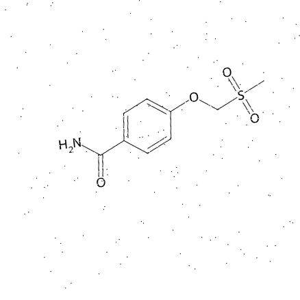 CS(=O)(=O)COc1ccc(C(N)=O)cc1